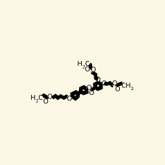 C=CC(=O)OCCCCCCOc1ccc(-c2ccc(OC(=O)c3ccc(OCCCOC(=O)C=C)c(OCCCOC(=O)C=C)c3)cc2)cc1